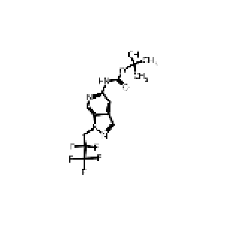 CC(C)(C)OC(=O)Nc1cc2cnn(CC(F)(F)C(F)(F)F)c2cn1